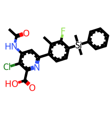 CC(=O)Nc1cc(-c2ccc([Si](C)(C)c3ccccc3)c(F)c2C)nc(C(=O)O)c1Cl